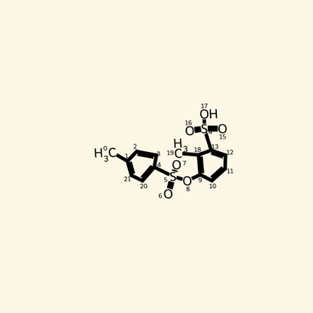 Cc1ccc(S(=O)(=O)Oc2cccc(S(=O)(=O)O)c2C)cc1